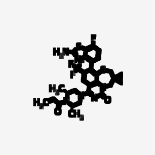 C=CC(=O)N1[C@H](C)CN(c2nc(=O)n3c4c(c(-c5ccc(F)c6sc(N)nc56)c(C(F)(F)F)cc24)SCC2(CC2)C3)C[C@@H]1C